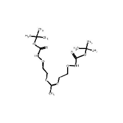 CC(OCCONC(=O)OC(C)(C)C)OCCONC(=O)OC(C)(C)C